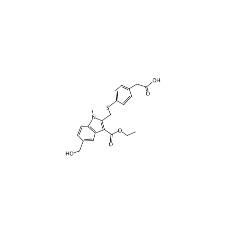 CCOC(=O)c1c(CSc2ccc(CC(=O)O)cc2)n(C)c2ccc(CO)cc12